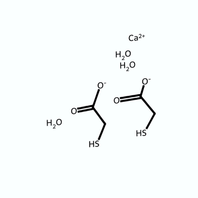 O.O.O.O=C([O-])CS.O=C([O-])CS.[Ca+2]